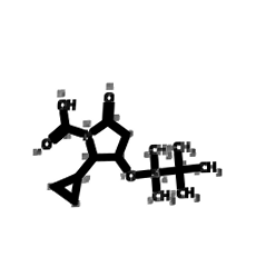 CC(C)(C)[Si](C)(C)OC1CC(=O)N(C(=O)O)C1C1CC1